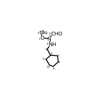 CC(C)(C)ON(C=O)NCC1CCCCC1